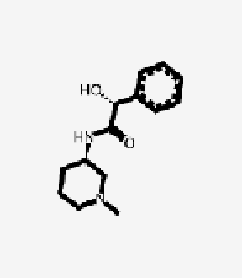 CN1CCC[C@@H](NC(=O)[C@H](O)c2ccccc2)C1